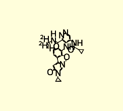 [2H]C([2H])([2H])NC(=O)c1nncc(NC(=O)C2CC2)c1Nc1cccc(-c2cc(=O)n(C3CC3)cn2)c1OC